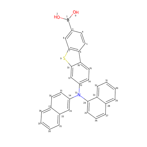 OB(O)c1ccc2c(c1)sc1cc(N(c3ccc4ccccc4c3)c3cccc4ccccc34)ccc12